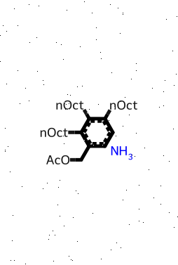 CCCCCCCCc1ccc(COC(C)=O)c(CCCCCCCC)c1CCCCCCCC.N